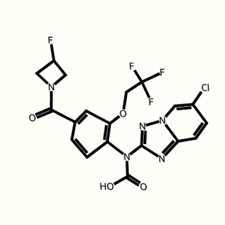 O=C(c1ccc(N(C(=O)O)c2nc3ccc(Cl)cn3n2)c(OCC(F)(F)F)c1)N1CC(F)C1